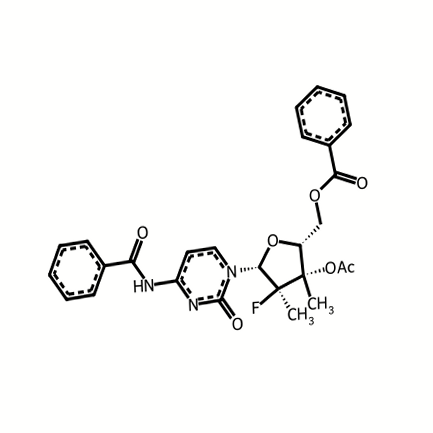 CC(=O)O[C@@]1(C)[C@@H](COC(=O)c2ccccc2)O[C@@H](n2ccc(NC(=O)c3ccccc3)nc2=O)[C@]1(C)F